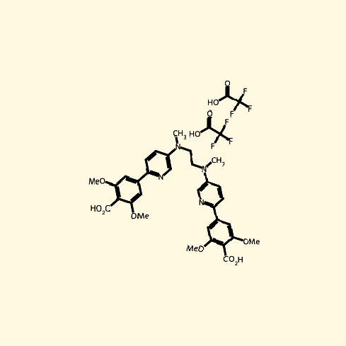 COc1cc(-c2ccc(N(C)CCN(C)c3ccc(-c4cc(OC)c(C(=O)O)c(OC)c4)nc3)cn2)cc(OC)c1C(=O)O.O=C(O)C(F)(F)F.O=C(O)C(F)(F)F